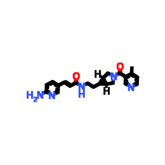 Cc1ccncc1C(=O)N1C[C@@H]2C(CCNC(=O)/C=C/c3ccc(N)nc3)[C@@H]2C1